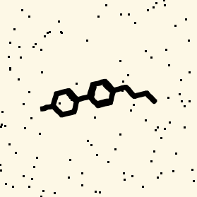 CCCCc1ccc(C2=CCC(C)CC2)cc1